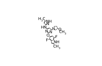 COC1CCN(c2cc(Nc3cc(C)[nH]n3)nc(Oc3cc(F)c4[nH]c(C)cc4c3F)n2)C1